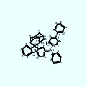 Clc1c(N(c2ccccc2)c2ccc(-c3ccccc3)cc2)ccc2c1C1(c3ccccc3-2)C2CC3CC(C2)CC1C3